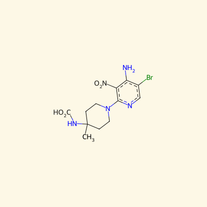 CC1(NC(=O)O)CCN(c2ncc(Br)c(N)c2[N+](=O)[O-])CC1